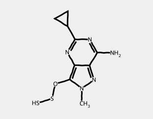 Cn1nc2c(N)nc(C3CC3)nc2c1OSS